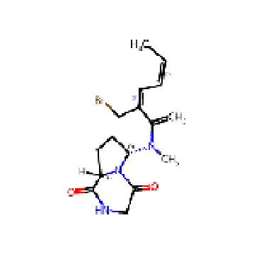 C=C(/C(=C\C=C/C)CBr)N(C)[C@H]1CC[C@H]2C(=O)NCC(=O)N12